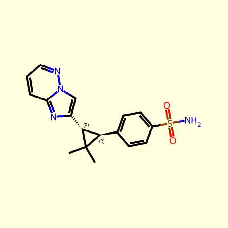 CC1(C)[C@H](c2ccc(S(N)(=O)=O)cc2)[C@H]1c1cn2ncccc2n1